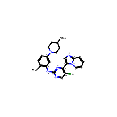 COc1ccc(N2CCC(OC)CC2)cc1Nc1ncc(F)c(-c2cnc3ccccn23)n1